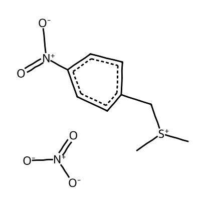 C[S+](C)Cc1ccc([N+](=O)[O-])cc1.O=[N+]([O-])[O-]